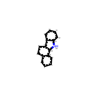 [c]1cccc2ccc3c4ccccc4[nH]c3c12